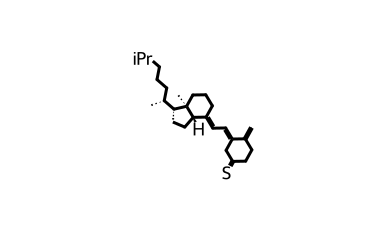 C=C1CCC(=S)CC1=CC=C1CCC[C@]2(C)[C@@H]([C@H](C)CCCC(C)C)CC[C@@H]12